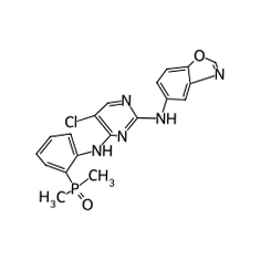 CP(C)(=O)c1ccccc1Nc1nc(Nc2ccc3ocnc3c2)ncc1Cl